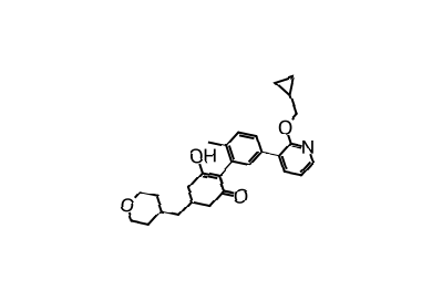 Cc1ccc(-c2cccnc2OCC2CC2)cc1C1=C(O)CC(CC2CCOCC2)CC1=O